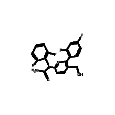 NC(=O)N(c1ccc(CO)c(-c2ccc(F)cc2F)n1)c1c(F)cccc1F